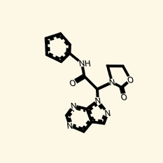 O=C(Nc1ccccc1)C(N1CCOC1=O)n1ncc2cncnc21